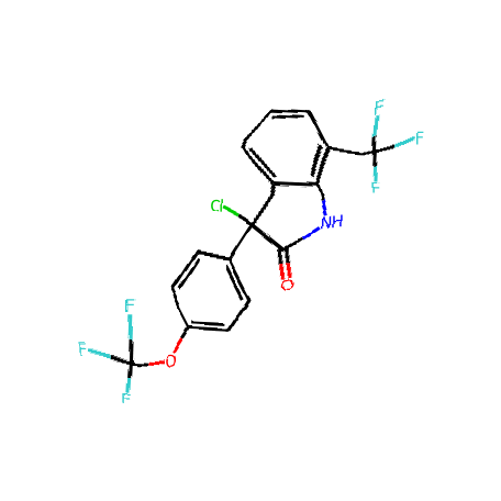 O=C1Nc2c(C(F)(F)F)cccc2C1(Cl)c1ccc(OC(F)(F)F)cc1